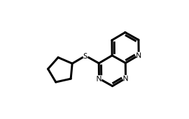 c1cnc2ncnc(SC3CCCC3)c2c1